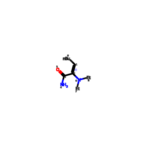 CCCC/C=C(\C(N)=O)N(CC)CC